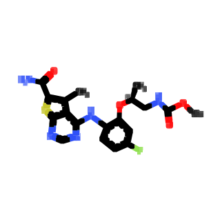 Cc1c(C(N)=O)sc2ncnc(Nc3ccc(F)cc3O[C@@H](C)CNC(=O)OC(C)(C)C)c12